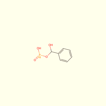 O=[PH](O)OC(O)c1ccccc1